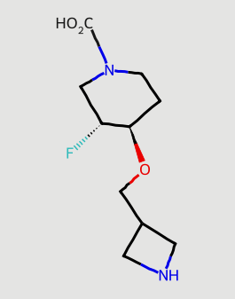 O=C(O)N1CC[C@@H](OCC2CNC2)[C@H](F)C1